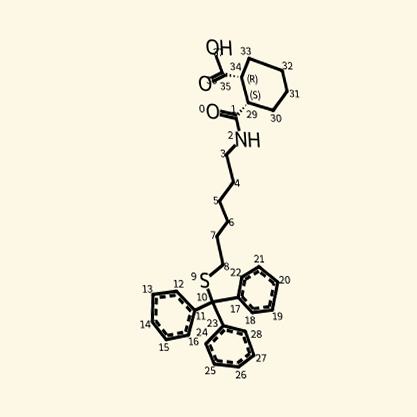 O=C(NCCCCCCSC(c1ccccc1)(c1ccccc1)c1ccccc1)[C@H]1CCCC[C@H]1C(=O)O